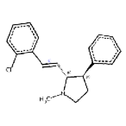 CN1CC[C@H](c2ccccc2)[C@H]1/C=C/c1ccccc1Cl